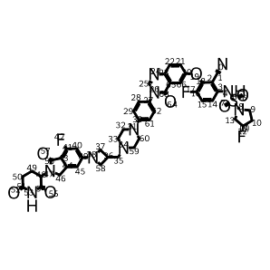 N#Cc1c(NS(=O)(=O)N2CC[C@@H](F)C2)ccc(F)c1Oc1ccc2ncn(-c3ccc(N4CCN(CC5CN(c6cc(F)c7c(c6)CN(C6CCC(=O)NC6=O)C7=O)C5)CC4)cc3)c(=O)c2c1